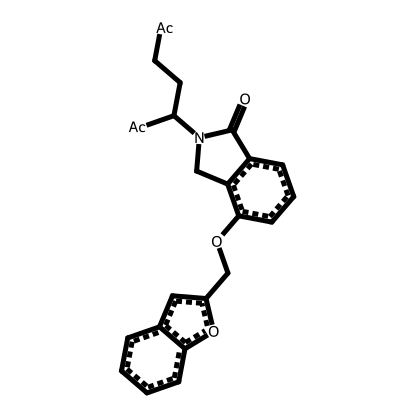 CC(=O)CCC(C(C)=O)N1Cc2c(OCc3cc4ccccc4o3)cccc2C1=O